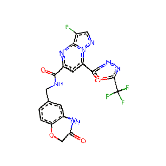 O=C1COc2ccc(CNC(=O)c3cc(-c4nnc(C(F)(F)F)o4)n4ncc(F)c4n3)cc2N1